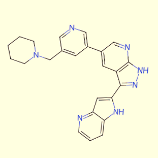 c1cnc2cc(-c3n[nH]c4ncc(-c5cncc(CN6CCCCC6)c5)cc34)[nH]c2c1